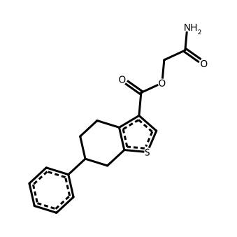 NC(=O)COC(=O)c1csc2c1CCC(c1ccccc1)C2